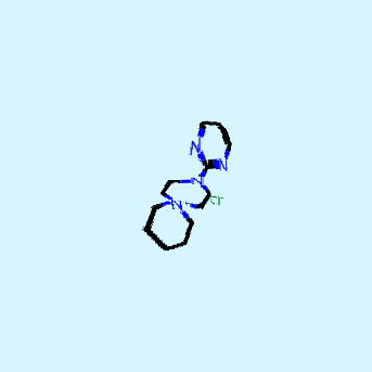 [Cl-].c1cnc(N2CC[N+]3(CCCCC3)CC2)nc1